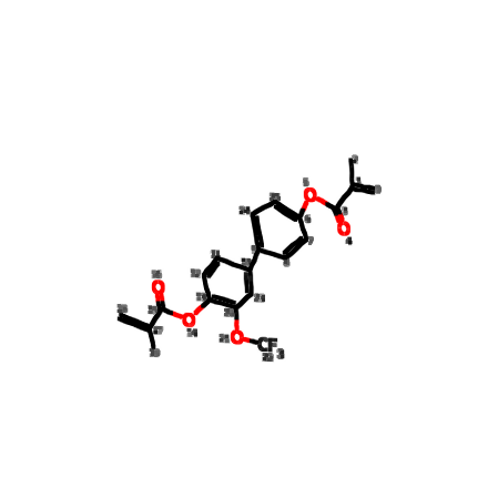 C=C(C)C(=O)Oc1ccc(-c2ccc(OC(=O)C(=C)C)c(OC(F)(F)F)c2)cc1